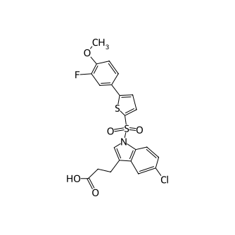 COc1ccc(-c2ccc(S(=O)(=O)n3cc(CCC(=O)O)c4cc(Cl)ccc43)s2)cc1F